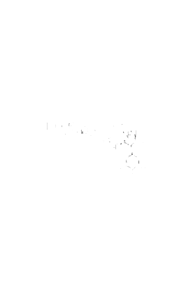 Cc1nn(C[C@H]2CC[C@H](COCC(=O)O)CC2)c(Br)c1-c1ccccc1